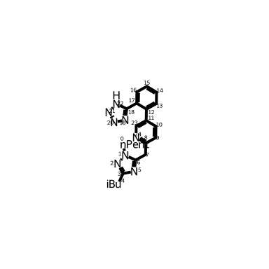 CCCCCn1nc(C(C)CC)nc1Cc1ccc(-c2ccccc2-c2nnn[nH]2)cn1